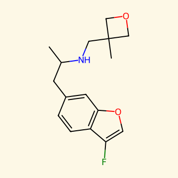 CC(Cc1ccc2c(F)coc2c1)NCC1(C)COC1